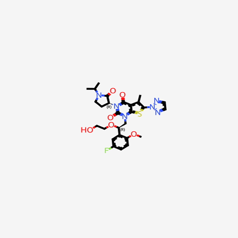 COc1ccc(F)cc1[C@H](Cn1c(=O)n([C@@H]2CCN(C(C)C)C2=O)c(=O)c2c(C)c(-n3nccn3)sc21)OCCO